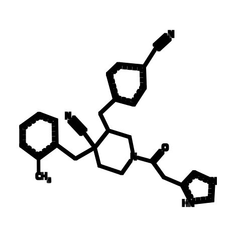 Cc1ccccc1CC1(C#N)CCN(C(=O)Cc2cnc[nH]2)CC1Cc1ccc(C#N)cc1